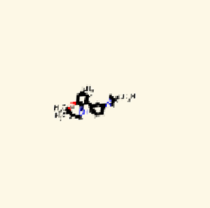 Cc1cc2c(c(-c3cccc(N4CC(C(=O)O)C4)c3)c1)NCCC(C)(C)O2